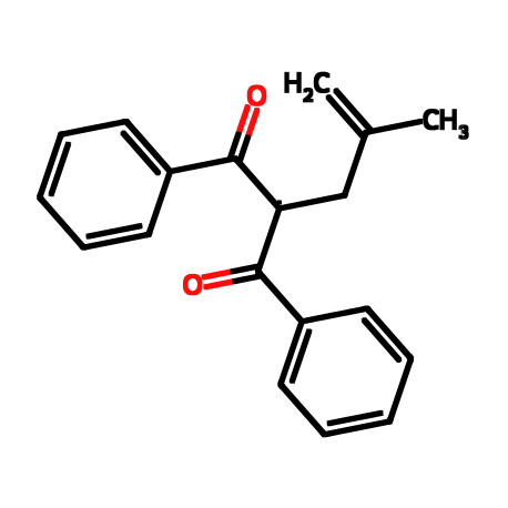 C=C(C)C[C](C(=O)c1ccccc1)C(=O)c1ccccc1